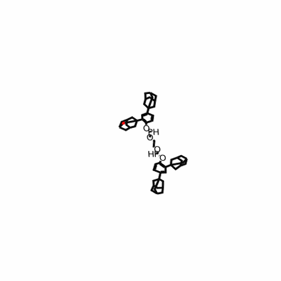 c1cc(OPOCCOPOc2ccc(C34CC5CC(CC(C5)C3)C4)cc2C23CC4CC(CC(C4)C2)C3)c(C23CC4CC(CC(C4)C2)C3)cc1C12CC3CC(CC(C3)C1)C2